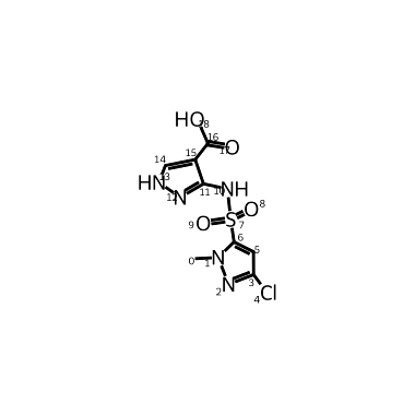 Cn1nc(Cl)cc1S(=O)(=O)Nc1n[nH]cc1C(=O)O